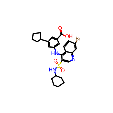 O=C(O)c1cc(Nc2c(S(=O)(=O)NC3CCCCC3)cnc3cc(Br)ccc23)cc(C2CCCC2)c1